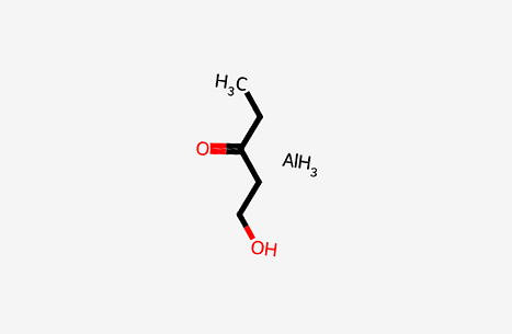 CCC(=O)CCO.[AlH3]